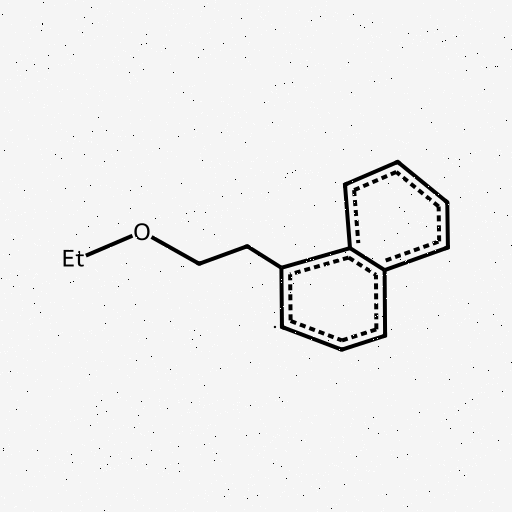 CCOCCc1[c]ccc2ccccc12